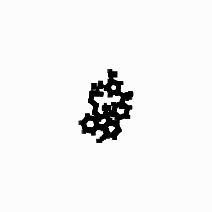 COCCCC[C@@](O)(c1cccc(F)c1C1C=CCCC1)C1CCCN(C(=O)[C@H]2C[C@@H](N)[C@@H](O)C2)C1